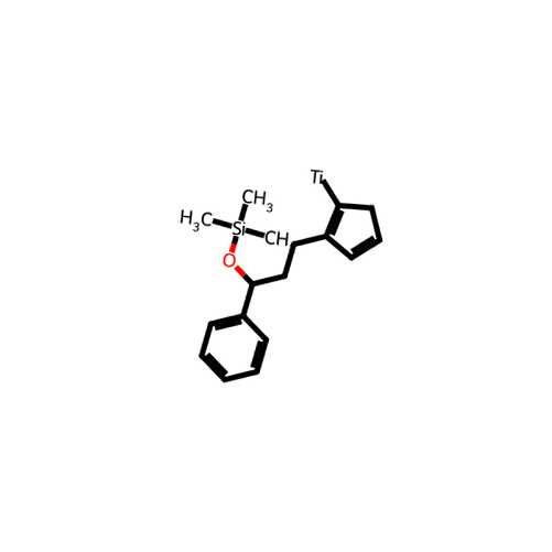 C[Si](C)(C)OC(CCC1=[C]([Ti])CC=C1)c1ccccc1